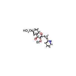 CCOc1c(C2CC2c2ccccn2)oc2ccc(C(=O)O)cc2c1=O